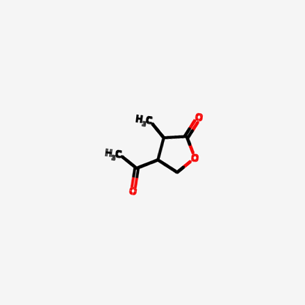 CC(=O)C1COC(=O)C1C